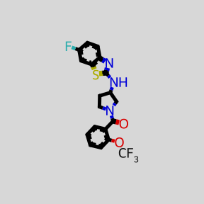 O=C(c1ccccc1OC(F)(F)F)N1CCC(Nc2nc3ccc(F)cc3s2)C1